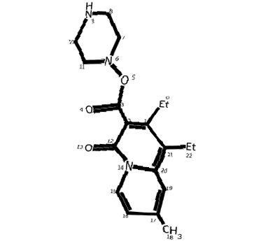 CCc1c(C(=O)ON2CCNCC2)c(=O)n2ccc(C)cc2c1CC